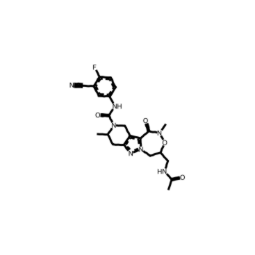 CC(=O)NCC1Cn2nc3c(c2C(=O)N(C)O1)CN(C(=O)Nc1ccc(F)c(C#N)c1)C(C)C3